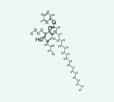 CCCCCCCCCCCCCCCCCCC(CC(=O)Oc1ccccc1)c1cc(CCCC)c(O)c(CCCC)c1